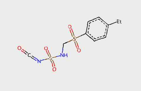 CCc1ccc(S(=O)(=O)CNS(=O)(=O)N=C=O)cc1